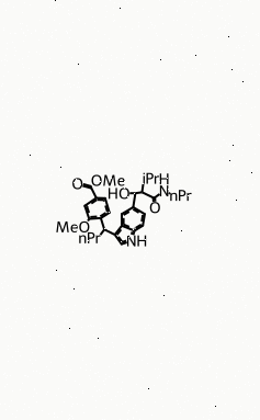 CCCNC(=O)C(C(C)C)C(O)c1ccc2[nH]cc(C(CCC)c3ccc(C(=O)OC)cc3OC)c2c1